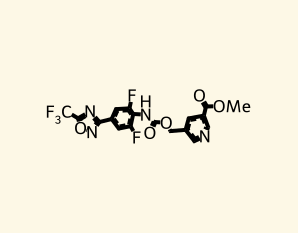 COC(=O)c1cncc(COC(=O)Nc2c(F)cc(-c3noc(C(F)(F)F)n3)cc2F)c1